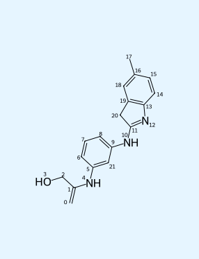 C=C(CO)Nc1cccc(NC2=Nc3ccc(C)cc3C2)c1